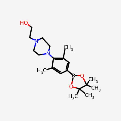 Cc1cc(B2OC(C)(C)C(C)(C)O2)cc(C)c1N1CCN(CCO)CC1